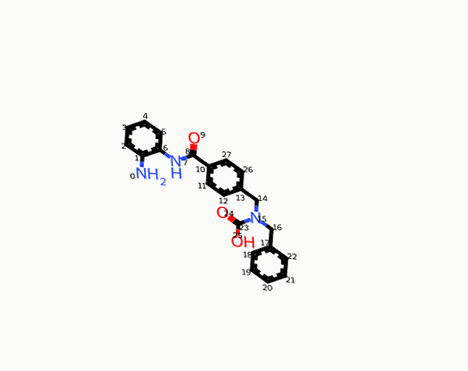 Nc1ccccc1NC(=O)c1ccc(CN(Cc2ccccc2)C(=O)O)cc1